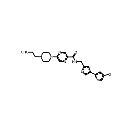 O=CCCN1CCN(c2cnc(C(=O)NCc3nc(-c4cc(Cl)cs4)cs3)cn2)CC1